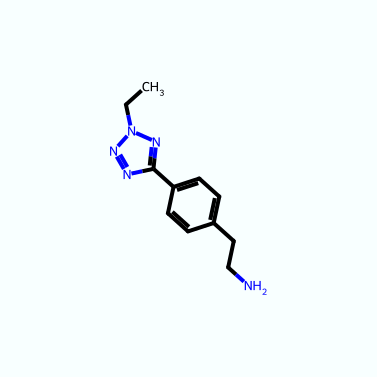 CCn1nnc(-c2ccc(CCN)cc2)n1